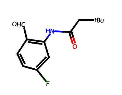 CC(C)(C)CC(=O)Nc1cc(F)ccc1C=O